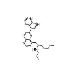 C=C/C=C\CC(Cc1ccnc2ccc(-c3c[nH]c4ncccc34)cc12)NCCC